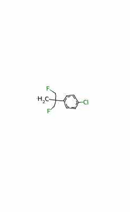 [CH2]C(CF)(CF)c1ccc(Cl)cc1